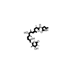 C/C(=C/[C@H](C)[C@@H](O)[C@@H](C)/C=C\[C@@H](O)C[C@@H]1OC(=O)[C@H](C)[C@@H](O)[C@H]1C)C[C@H](C)C(=O)N[C@@H]1CC(C)NC1=O